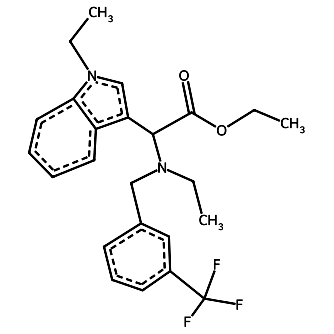 CCOC(=O)C(c1cn(CC)c2ccccc12)N(CC)Cc1cccc(C(F)(F)F)c1